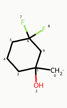 [CH2]C1(O)CCCC(F)(F)C1